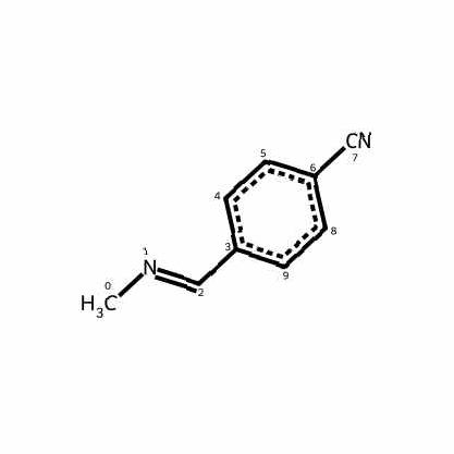 CN=Cc1ccc(C#N)cc1